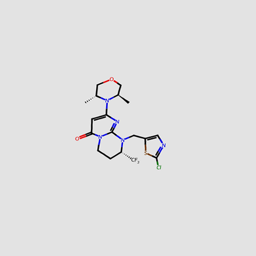 C[C@@H]1COC[C@@H](C)N1c1cc(=O)n2c(n1)N(Cc1cnc(Cl)s1)[C@H](C(F)(F)F)CC2